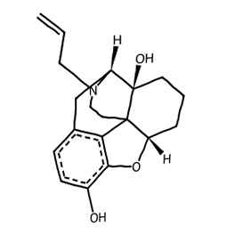 C=CCN1CCC23c4c5ccc(O)c4O[C@H]2CCC[C@@]3(O)[C@H]1C5